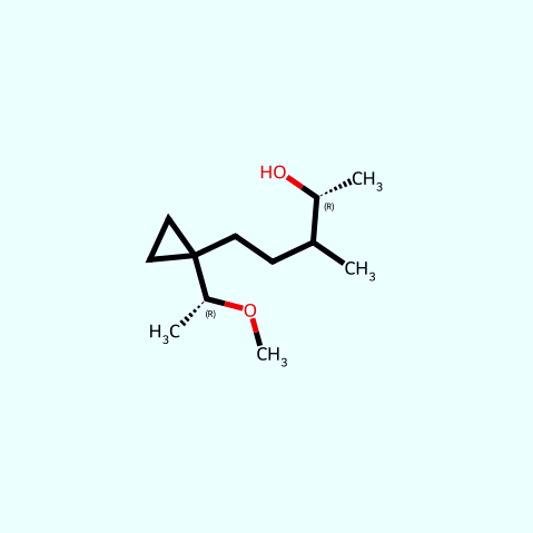 CO[C@H](C)C1(CCC(C)[C@@H](C)O)CC1